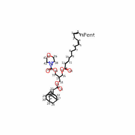 CCCCC/C=C\C/C=C\CCCCCCCC(=O)OCC(COC(=O)CC12CC3CC(CC(C3)C1)C2)COC(=O)N1CCOCC1